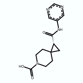 O=C(Nc1cncnc1)[C@@H]1CC12CCN(C(=O)O)CC2